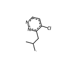 [CH2]C(C)Cc1nnccc1Cl